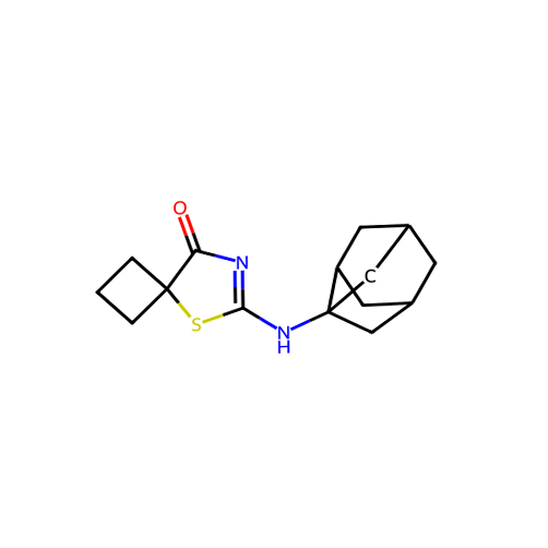 O=C1N=C(NC23CC4CC(CC2C4)C3)SC12CCC2